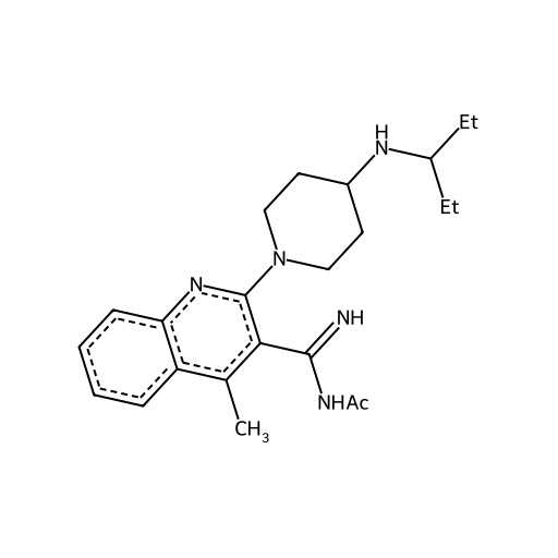 CCC(CC)NC1CCN(c2nc3ccccc3c(C)c2C(=N)NC(C)=O)CC1